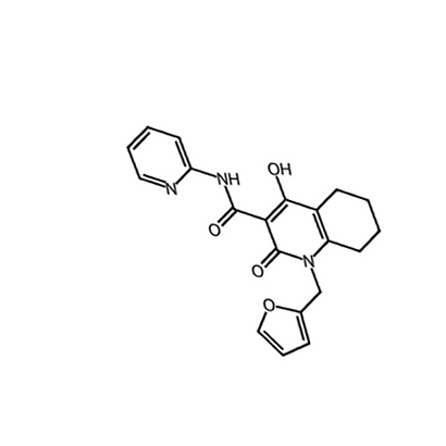 O=C(Nc1ccccn1)c1c(O)c2c(n(Cc3ccco3)c1=O)CCCC2